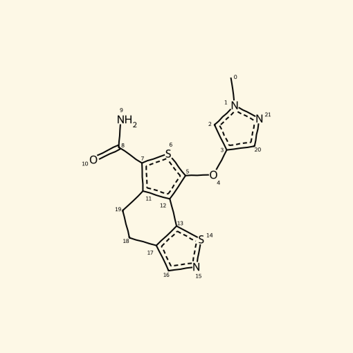 Cn1cc(Oc2sc(C(N)=O)c3c2-c2sncc2CC3)cn1